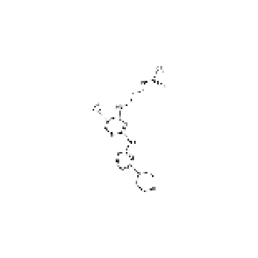 O=C(NCCCNc1nc(Nc2cccc(N3CCOCC3)c2)ncc1C1CC1)C(F)(F)F